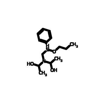 CCCO[SiH](CN(C(C)O)C(C)O)c1ccccc1